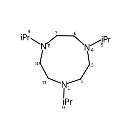 CC(C)N1CCN(C(C)C)CCN(C(C)C)CC1